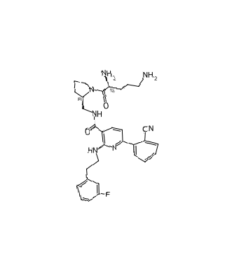 N#Cc1ccccc1-c1ccc(C(=O)NC[C@H]2CCCN2C(=O)[C@@H](N)CCCN)c(NCCc2cccc(F)c2)n1